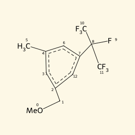 COCc1[c]c(C)cc(C(F)(C(F)(F)F)C(F)(F)F)c1